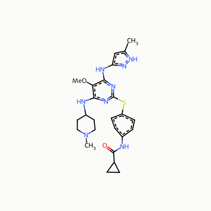 COc1c(Nc2cc(C)[nH]n2)nc(Sc2ccc(NC(=O)C3CC3)cc2)nc1NC1CCN(C)CC1